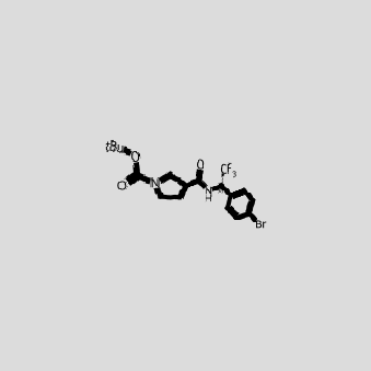 CC(C)(C)OC(=O)N1CCC(C(=O)N[C@@H](c2ccc(Br)cc2)C(F)(F)F)C1